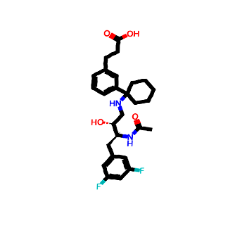 CC(=O)N[C@@H](Cc1cc(F)cc(F)c1)[C@H](O)CNC1(c2cccc(CCC(=O)O)c2)CCCCC1